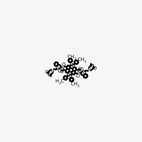 Cc1ccc(Oc2cc3c4c(cc(Oc5ccc(C)cc5)c5c6c(Oc7ccc(C)cc7)cc7c8c(cc(Oc9ccc(C)cc9)c(c2c45)c86)C(=O)N(C(Cc2ccccc2)C(=O)OCCN(CC2CO2)CC2CO2)C7=O)C(=O)N(C(Cc2ccccc2)C(=O)OCCN(CC2CO2)CC2CO2)C3=O)cc1